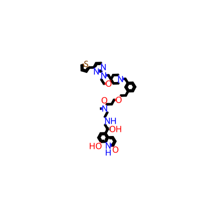 CN(CCNC[C@H](O)c1ccc(O)c2[nH]c(=O)ccc12)C(=O)CCOCCc1cccc(CN2CCC3(CC2)CN(c2nccc(-c4cccs4)n2)CCO3)c1